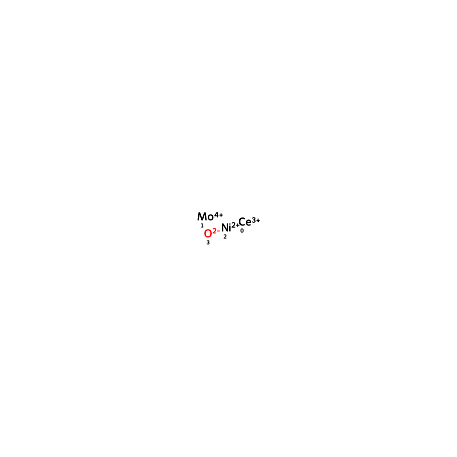 [Ce+3].[Mo+4].[Ni+2].[O-2]